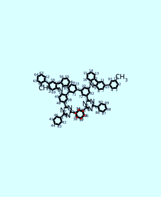 Cc1cccc(-c2ccc3c(c2)c2ccccc2n3-c2cc(-c3cccc(-c4cc(-c5nc(-c6ccccc6)nc(-c6ccccc6)n5)ccc4-n4c5ccccc5c5cc(-c6ccccc6C)ccc54)c3)cc(-c3nc(-c4ccccc4)nc(-c4ccccc4)n3)c2)c1